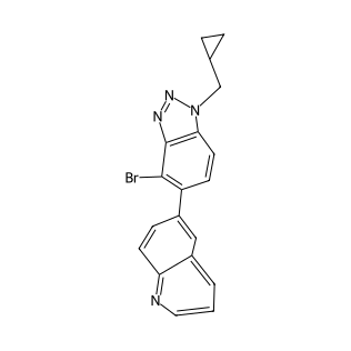 Brc1c(-c2ccc3ncccc3c2)ccc2c1nnn2CC1CC1